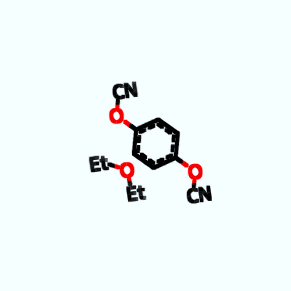 CCOCC.N#COc1ccc(OC#N)cc1